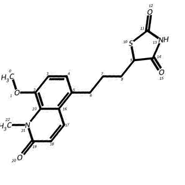 COc1ccc(CCCC2SC(=O)NC2=O)c2ccc(=O)n(C)c12